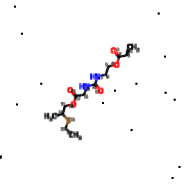 C=CC(=O)OCCNC(=O)NCC(=O)OCC(C)SCC